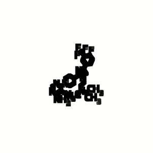 CC(C)N(C)CCn1cc(-c2ccc(F)c(C(F)(F)F)c2)nc1C1CCN(c2ncnc(N)c2C#N)CC1